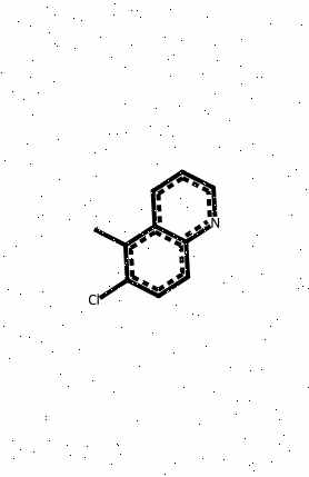 Cc1c(Cl)ccc2ncccc12